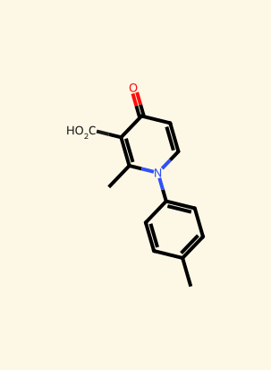 Cc1ccc(-n2ccc(=O)c(C(=O)O)c2C)cc1